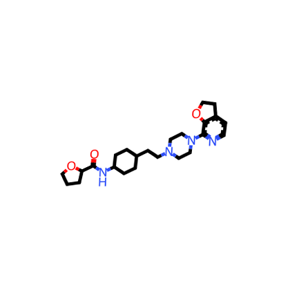 O=C(NC1CCC(CCN2CCN(c3nccc4c3OCC4)CC2)CC1)C1CCCO1